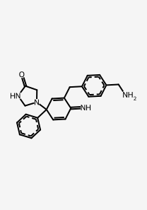 N=C1C=CC(c2ccccc2)(N2CNC(=O)C2)C=C1Cc1ccc(CN)cc1